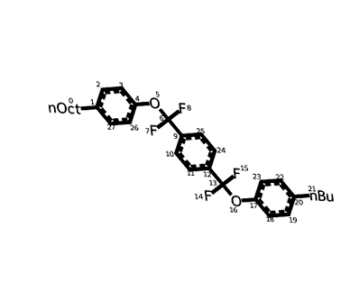 CCCCCCCCc1ccc(OC(F)(F)c2ccc(C(F)(F)Oc3ccc(CCCC)cc3)cc2)cc1